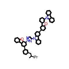 CC(C)C(C)Cc1cccc(-c2cc(-n3ncc(-n4c5ccccc5c5cc(-c6ccc7oc8c(-n9c%10ccccc%10c%10ccccc%109)cccc8c7c6)ccc54)n3)c3oc4ccccc4c3c2)c1